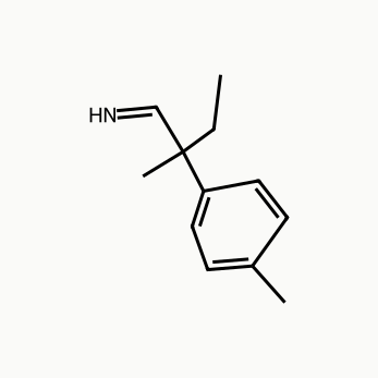 CCC(C)(C=N)c1ccc(C)cc1